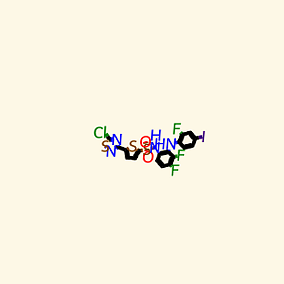 O=S(=O)(Nc1ccc(F)c(F)c1Nc1ccc(I)cc1F)c1ccc(-c2nsc(Cl)n2)s1